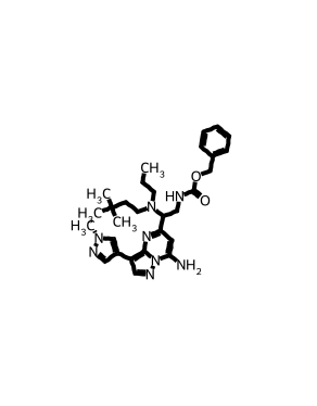 CCCN(CCC(C)(C)C)C(CNC(=O)OCc1ccccc1)c1cc(N)n2ncc(-c3cnn(C)c3)c2n1